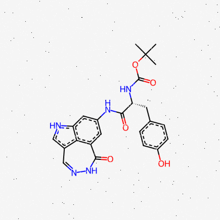 CC(C)(C)OC(=O)N[C@H](Cc1ccc(O)cc1)C(=O)Nc1cc2c3c(c[nH]c3c1)C=NNC2=O